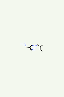 CCC(C)Cn1cc(CN)cn1.Cl